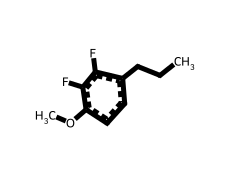 CCCc1ccc(OC)c(F)c1F